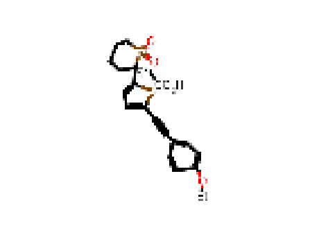 CCOc1ccc(C#Cc2ccc([C@@]3(CC(=O)O)CCCCS3(=O)=O)s2)cc1